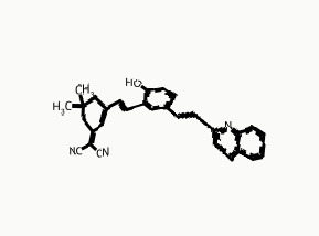 CC1(C)CC(/C=C/c2cc(/C=C/c3ccc4ccccc4n3)ccc2O)=CC(=C(C#N)C#N)C1